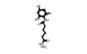 NNC(=O)CCCCC(=O)Nc1c(Br)cc(Br)cc1Br